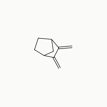 C=C1C(=C)C2CCC1C2